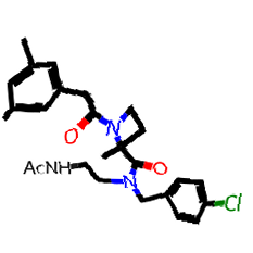 CC(=O)NCCN(Cc1ccc(Cl)cc1)C(=O)C1(C)CCN1C(=O)Cc1cc(C)cc(C)c1